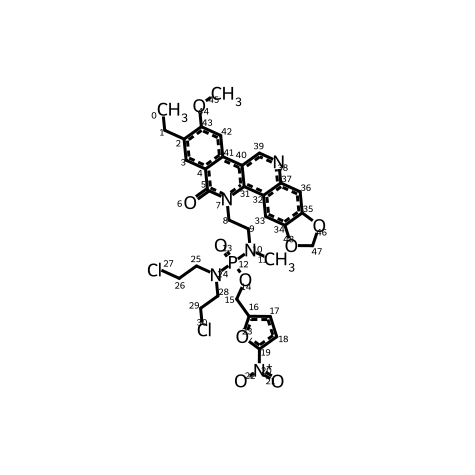 CCc1cc2c(=O)n(CCN(C)P(=O)(OCc3ccc([N+](=O)[O-])o3)N(CCCl)CCCl)c3c4cc5c(cc4ncc3c2cc1OC)OCO5